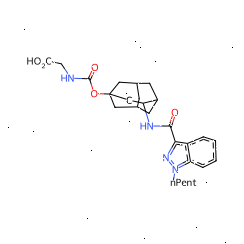 CCCCCn1nc(C(=O)NC2CC3(OC(=O)NCC(=O)O)CC4CC(CC2C4)C3)c2ccccc21